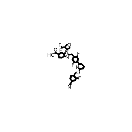 N#Cc1ccc(COc2cccc(-c3cc(F)c(Cc4nc5ccc(C(=O)O)cc5n4[C@H]4COC[C@@H]4C(F)F)cc3F)n2)c(F)c1